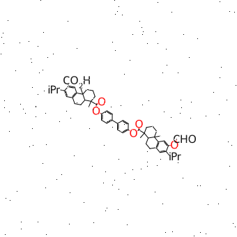 CC(C)c1cc2c(cc1OC=O)C1(C)CCCC(C)(C(=O)Oc3ccc(-c4ccc(OC(=O)C5(C)CCCC6(C)c7cc(C(=O)O)c(C(C)C)cc7CCC56)cc4)cc3)C1CC2